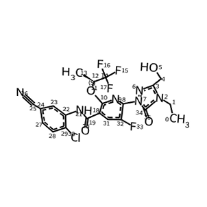 CCn1c(CO)nn(-c2nc(O[C@@H](C)C(F)(F)F)c(C(=O)Nc3cc(C#N)ccc3Cl)cc2F)c1=O